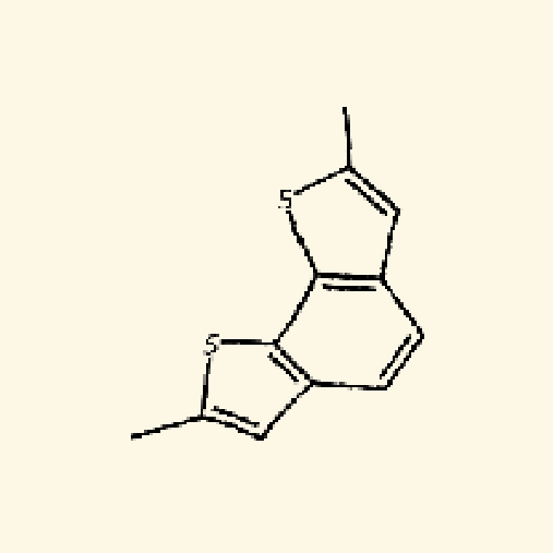 Cc1cc2ccc3cc(C)sc3c2s1